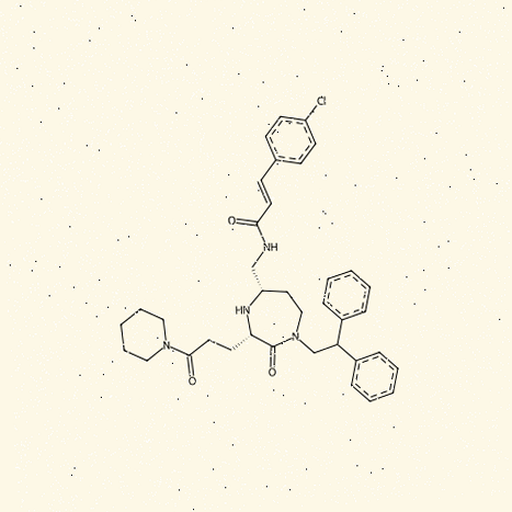 O=C(/C=C/c1ccc(Cl)cc1)NC[C@@H]1CCN(CC(c2ccccc2)c2ccccc2)C(=O)[C@H](CCC(=O)N2CCCCC2)N1